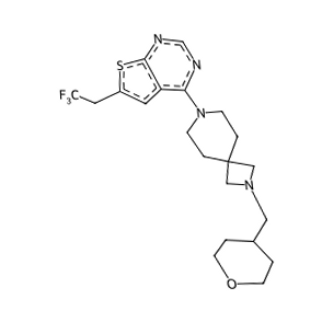 FC(F)(F)Cc1cc2c(N3CCC4(CC3)CN(CC3CCOCC3)C4)ncnc2s1